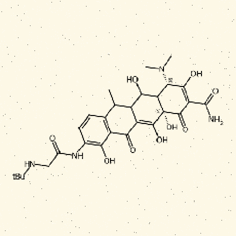 CC1c2ccc(NC(=O)CNC(C)(C)C)c(O)c2C(=O)C2=C(O)[C@]3(O)C(=O)C(C(N)=O)=C(O)[C@@H](N(C)C)C3C(O)C21